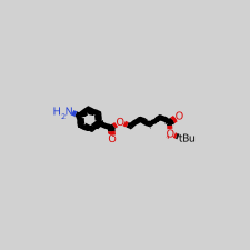 CC(C)(C)OC(=O)CCCCOC(=O)c1ccc(N)cc1